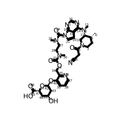 C[C@@H]1CCN(C(=O)CC#N)C[C@@H]1N(C)c1ncnc2c1ccn2C(=O)N(C)CCN(C)C(=O)OCc1ncccc1O[C@H]1C[C@@H](O)C[C@@H](C(=O)O)O1